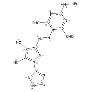 CCC(C)Nc1nc(C=O)c(N=Nc2nn(-c3nc[nH]n3)c(C#N)c2C#N)c(C=O)n1